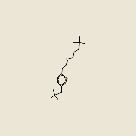 CC(C)(C)CCCOCCc1ccc(CC(C)(C)C)cc1